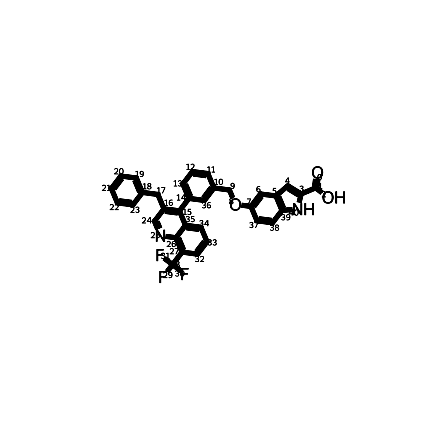 O=C(O)c1cc2cc(OCc3cccc(-c4c(Cc5ccccc5)cnc5c(C(F)(F)F)cccc45)c3)ccc2[nH]1